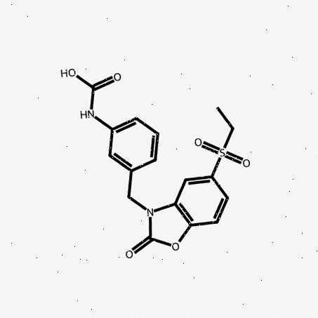 CCS(=O)(=O)c1ccc2oc(=O)n(Cc3cccc(NC(=O)O)c3)c2c1